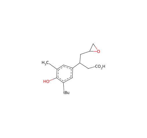 Cc1cc(C(CC(=O)O)CC2CO2)cc(C(C)(C)C)c1O